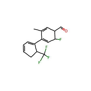 CC1=CC(C=O)C(F)C=C1C1=CC=CCC1C(F)(F)F